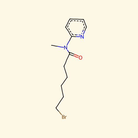 CN(C(=O)CCCCCBr)c1ccccn1